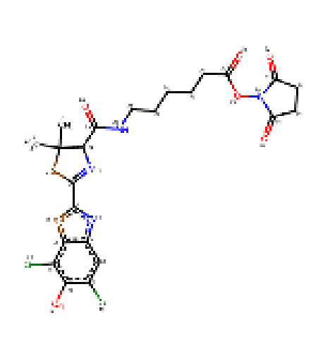 CC1(C)SC(c2nc3cc(Cl)c(O)c(Cl)c3s2)=NC1C(=O)NCCCCCC(=O)ON1C(=O)CCC1=O